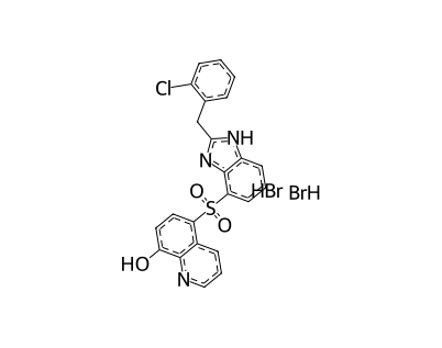 Br.Br.O=S(=O)(c1ccc(O)c2ncccc12)c1cccc2[nH]c(Cc3ccccc3Cl)nc12